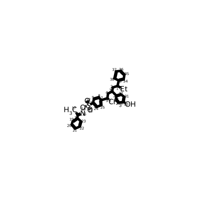 CCC(CC(CC(C)c1ccc(S(=O)(=O)O/N=C(\C)c2ccccc2)cc1)c1ccc(O)cc1)c1ccccc1